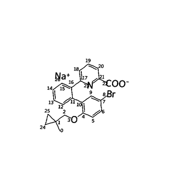 CC1(COc2ccc(Br)cc2-c2ccccc2-c2cccc(C(=O)[O-])n2)CC1.[Na+]